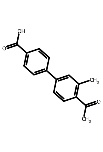 CC(=O)c1ccc(-c2ccc(C(=O)O)cc2)cc1C